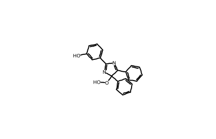 OOC1(c2ccccc2)N=C(c2cccc(O)c2)N=C1c1ccccc1